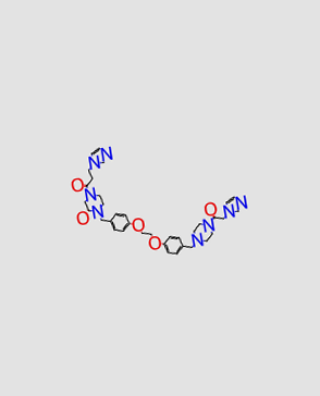 O=C(Cn1ccnc1)N1CCN(Cc2ccc(OCCOc3ccc(CN4CCN(C(=O)CCn5ccnc5)CC4=O)cc3)cc2)CC1